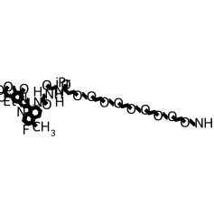 CC[C@@]1(O)C(=O)OCc2c1cc1n(c2=O)Cc2c-1nc1cc(F)c(C)c3c1c2[C@@H](NC(=O)CNC(=O)C(NC(=O)CCOCCOCCOCCOCCOCCOCCOCCOCCOCCN)C(C)C)CC3